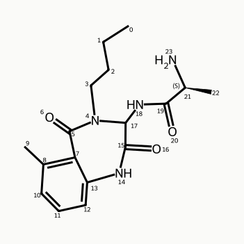 CCCCN1C(=O)c2c(C)cccc2NC(=O)C1NC(=O)[C@H](C)N